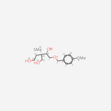 COc1ccc(COC[C@H](O)[C@@](CO)(CCO)SC)cc1